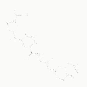 CC(=O)N1CCC(Nc2cc(C(=O)NCC(O)CN3CCc4ccccc4C3)ncn2)C1